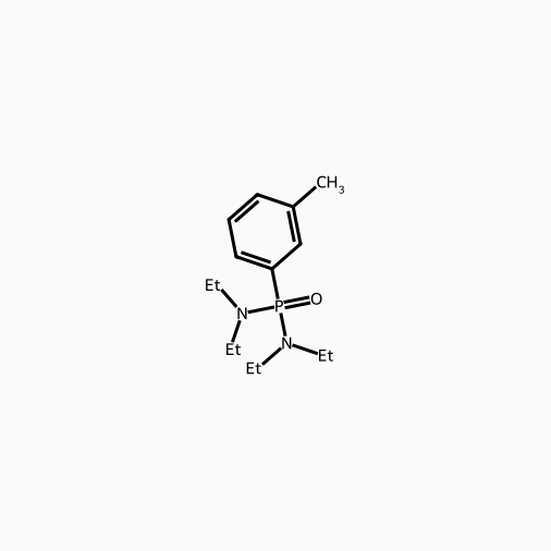 CCN(CC)P(=O)(c1cccc(C)c1)N(CC)CC